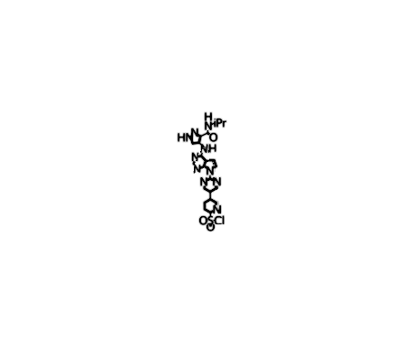 CC(C)NC(=O)c1n[nH]cc1Nc1ncnc2c1ccn2-c1ncc(-c2ccc(S(=O)(=O)Cl)nc2)cn1